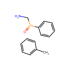 Cc1ccccc1.NC[P](=O)c1ccccc1